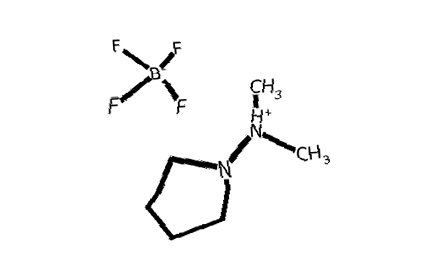 C[NH+](C)N1CCCC1.F[B-](F)(F)F